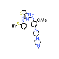 COc1cc(N2CCC(N3CCN(C)CC3)CC2)ccc1Nc1nc(Nc2ccccc2SC(C)C)c2sccc2n1